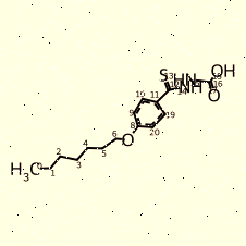 CCCCCCCOc1ccc(C(=S)NNC(=O)O)cc1